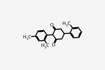 Cc1ccc(C2C(=O)CC(c3ccccc3C)CC2=O)c(C)c1